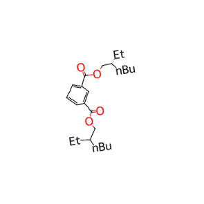 CCCCC(CC)COC(=O)c1cccc(C(=O)OC[C@H](CC)CCCC)c1